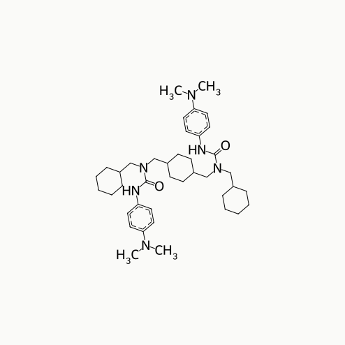 CN(C)c1ccc(NC(=O)N(CC2CCCCC2)CC2CCC(CN(CC3CCCCC3)C(=O)Nc3ccc(N(C)C)cc3)CC2)cc1